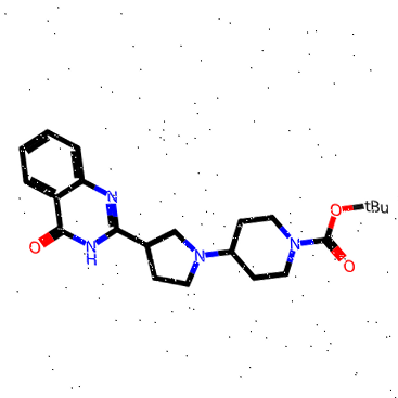 CC(C)(C)OC(=O)N1CCC(N2CCC(c3nc4ccccc4c(=O)[nH]3)C2)CC1